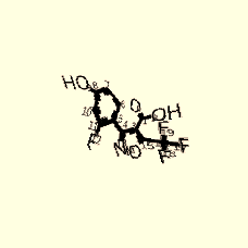 O=C(O)c1c(-c2ccc(O)cc2F)noc1C(F)(F)F